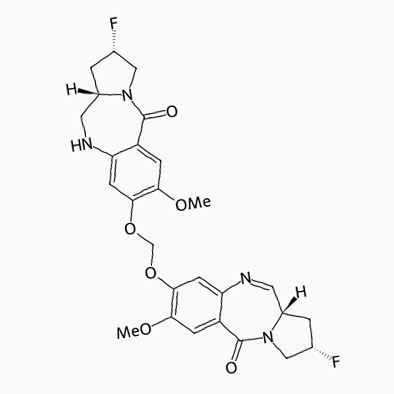 COc1cc2c(cc1OCOc1cc3c(cc1OC)C(=O)N1C[C@@H](F)C[C@H]1CN3)N=C[C@@H]1C[C@H](F)CN1C2=O